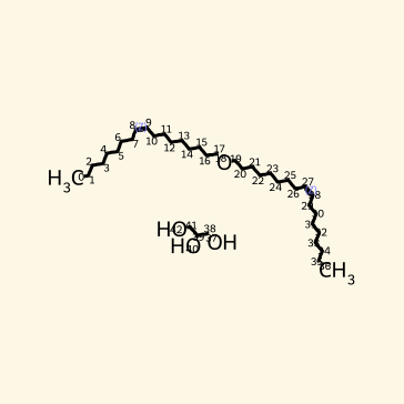 CCCCCCCC/C=C\CCCCCCCCOCCCCCCCC/C=C\CCCCCCCC.OCC(O)CO